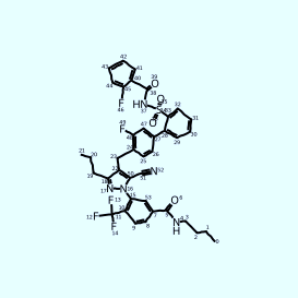 CCCCNC(=O)c1ccc(C(F)(F)F)c(-n2nc(CCC)c(Cc3ccc(-c4ccccc4S(=O)(=O)NC(=O)c4ccccc4F)cc3F)c2C#N)c1